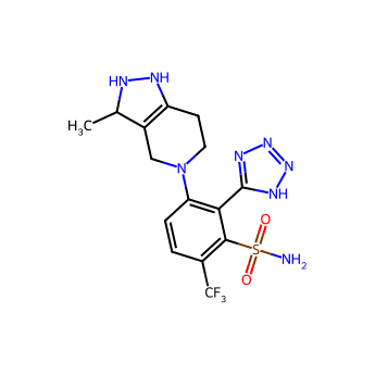 CC1NNC2=C1CN(c1ccc(C(F)(F)F)c(S(N)(=O)=O)c1-c1nnn[nH]1)CC2